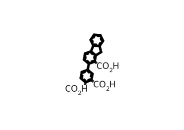 O=C(O)c1ccc(-c2ccc3c(c2C(=O)O)Cc2ccccc2-3)cc1C(=O)O